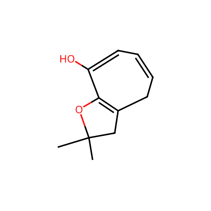 CC1(C)CC2=C(O1)C(O)=CC=CC2